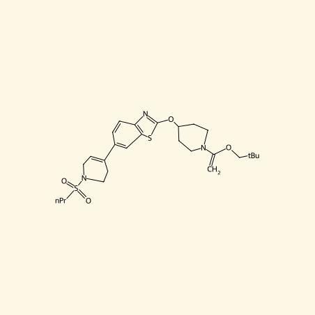 C=C(OCC(C)(C)C)N1CCC(Oc2nc3ccc(C4=CCN(S(=O)(=O)CCC)CC4)cc3s2)CC1